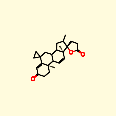 CC1CC2C3CC4(CC4)C4=CC(=O)CC[C@]4(C)C3C=C[C@]2(C)[C@]12CCC(=O)O2